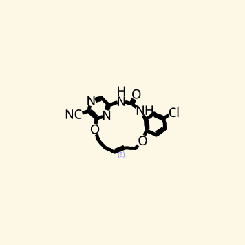 N#Cc1ncc2nc1OCC/C=C/COc1ccc(Cl)cc1NC(=O)N2